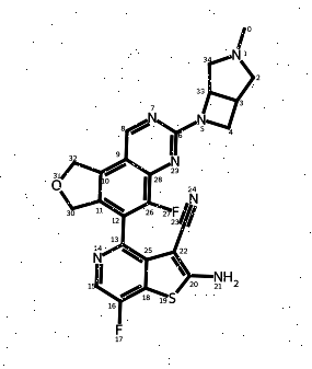 CN1CC2CN(c3ncc4c5c(c(-c6ncc(F)c7sc(N)c(C#N)c67)c(F)c4n3)COC5)C2C1